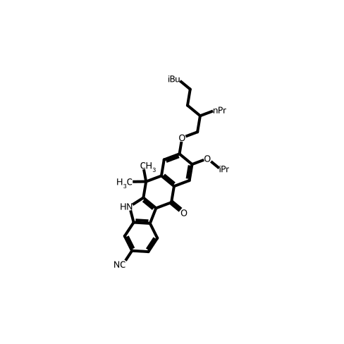 CCCC(CCC(C)CC)COc1cc2c(cc1OC(C)C)C(=O)c1c([nH]c3cc(C#N)ccc13)C2(C)C